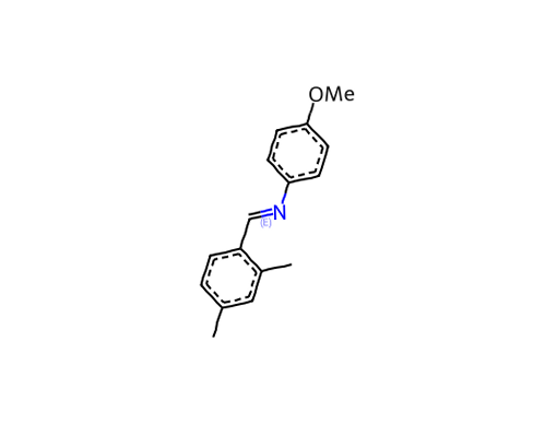 COc1ccc(/N=C/c2ccc(C)cc2C)cc1